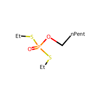 CCCCCCOP(=O)(SCC)SCC